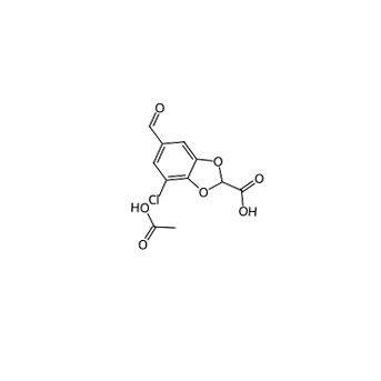 CC(=O)O.O=Cc1cc(Cl)c2c(c1)OC(C(=O)O)O2